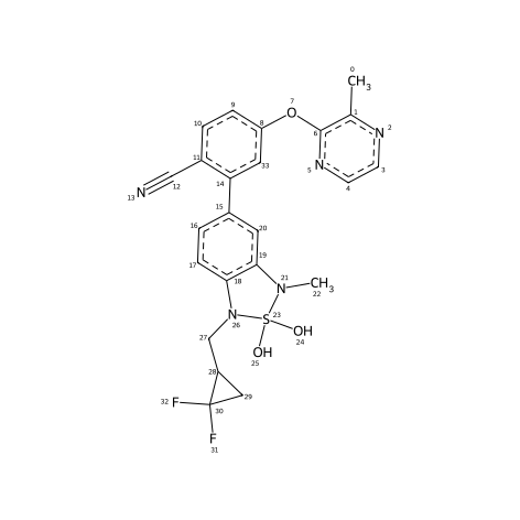 Cc1nccnc1Oc1ccc(C#N)c(-c2ccc3c(c2)N(C)S(O)(O)N3CC2CC2(F)F)c1